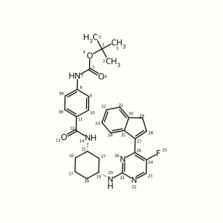 CC(C)(C)OC(=O)Nc1ccc(C(=O)N[C@H]2CCC[C@@H](Nc3ncc(F)c(C4=CCc5ccccc54)n3)C2)cc1